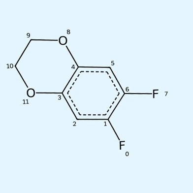 Fc1cc2c(cc1F)OCCO2